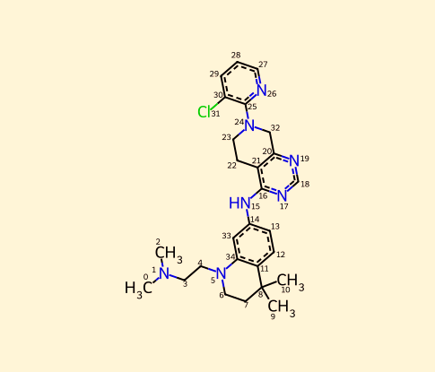 CN(C)CCN1CCC(C)(C)c2ccc(Nc3ncnc4c3CCN(c3ncccc3Cl)C4)cc21